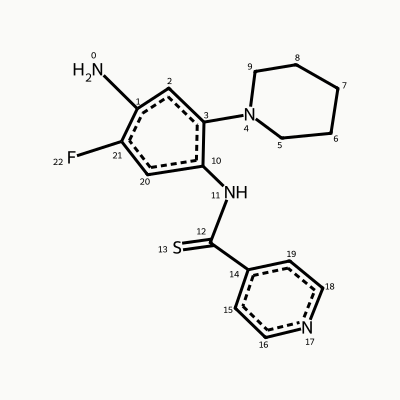 Nc1cc(N2CCCCC2)c(NC(=S)c2ccncc2)cc1F